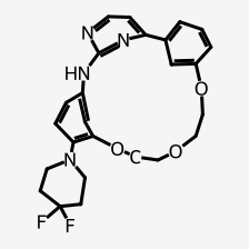 FC1(F)CCN(c2ccc3cc2OCCOCCOc2cccc(c2)-c2ccnc(n2)N3)CC1